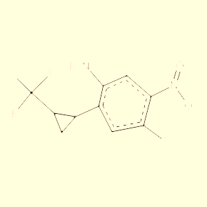 Nc1cc([N+](=O)[O-])c(F)cc1C1CC1C(F)(F)F